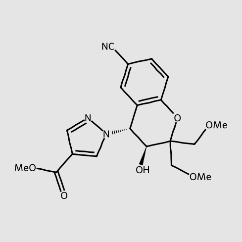 COCC1(COC)Oc2ccc(C#N)cc2[C@@H](n2cc(C(=O)OC)cn2)[C@@H]1O